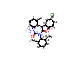 Cc1ccccc1-c1c(N(C(N)=O)c2c(C(C)C)cccc2C(C)C)oc2ccc(Cl)cc12